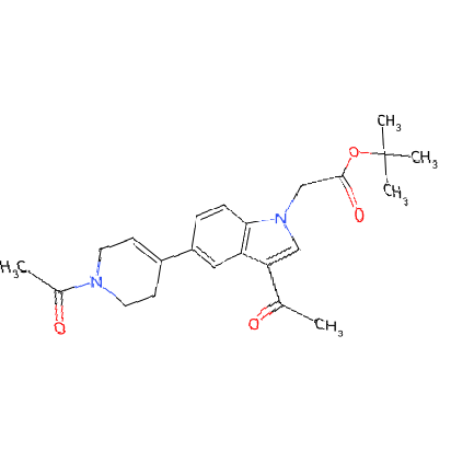 CC(=O)c1cn(CC(=O)OC(C)(C)C)c2ccc(C3=CCN(C(C)=O)CC3)cc12